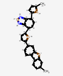 Cc1ccc2c(c1)sc1cc(-c3ccc(-c4ccc(-c5ccc(C)s5)c5nsnc45)s3)ccc12